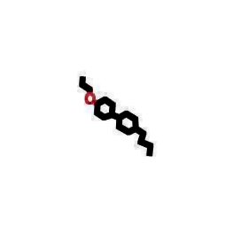 CCCCC1CCC(C2CCC(OCCC)CC2)CC1